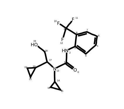 O=C(Nc1ccccc1C(F)(F)F)N(C1CC1)C(CO)C1CC1